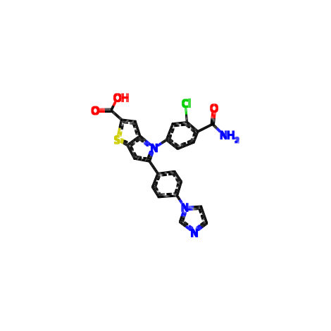 NC(=O)c1ccc(-n2c(-c3ccc(-n4ccnc4)cc3)cc3sc(C(=O)O)cc32)cc1Cl